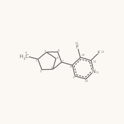 CC1CC2CC1CC2c1ccnc(F)c1F